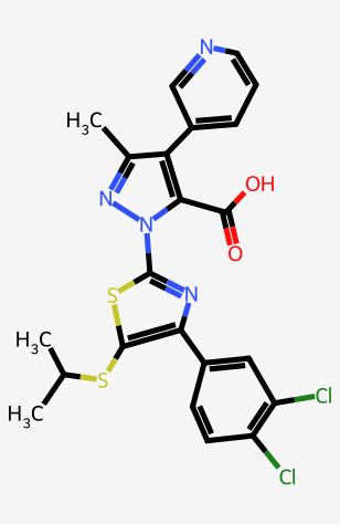 Cc1nn(-c2nc(-c3ccc(Cl)c(Cl)c3)c(SC(C)C)s2)c(C(=O)O)c1-c1cccnc1